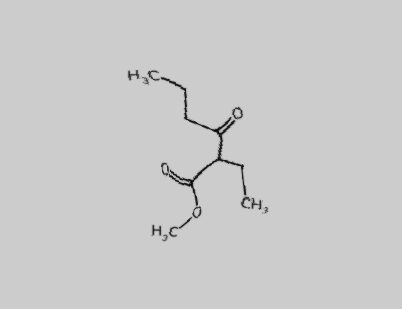 CCCC(=O)C(CC)C(=O)OC